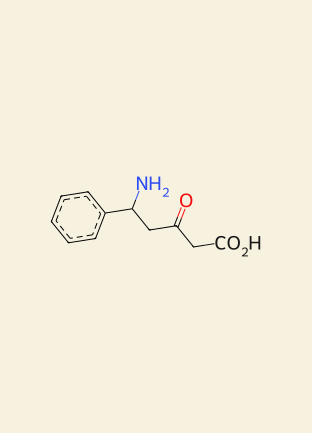 NC(CC(=O)CC(=O)O)c1ccccc1